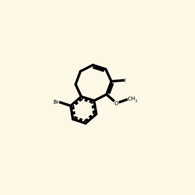 CO/C1=C(I)/C=C\CCc2c(Br)cccc21